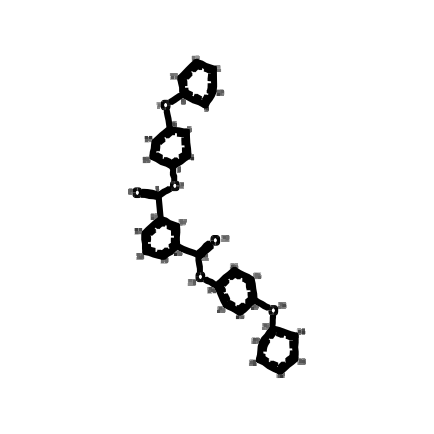 O=C(Oc1ccc(Oc2ccccc2)cc1)c1cccc(C(=O)Oc2ccc(Oc3ccccc3)cc2)c1